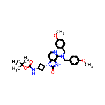 COc1ccc(CN(Cc2ccc(OC)cc2)c2nccc3c2[nH]c(=O)n3[C@H]2C[C@@H](NC(=O)OC(C)(C)C)C2)cc1